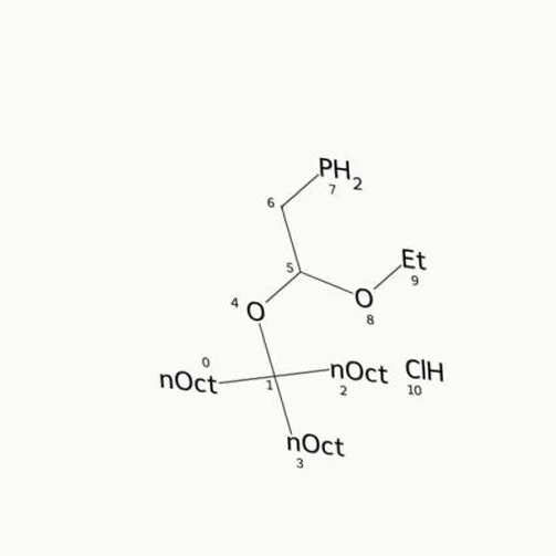 CCCCCCCCC(CCCCCCCC)(CCCCCCCC)OC(CP)OCC.Cl